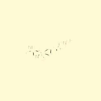 CN1CCN(C(=O)Cc2ccc(Nc3ncc(C(N)=O)cn3)cc2)CC1